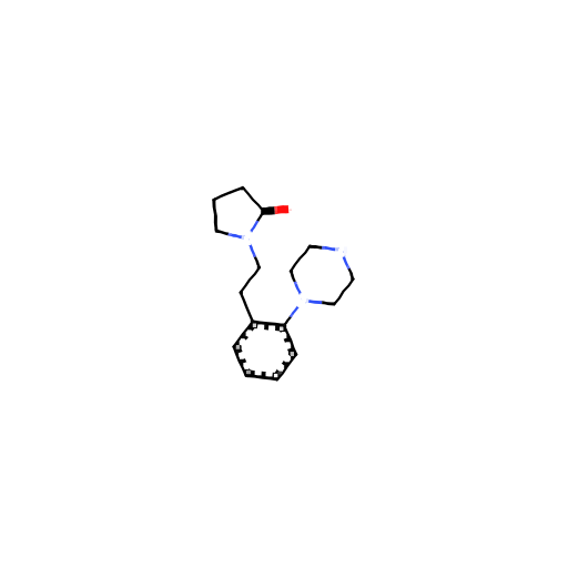 O=C1CCCN1CCc1ccccc1N1CCNCC1